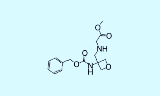 COC(=O)CNCC1(NC(=O)OCc2ccccc2)COC1